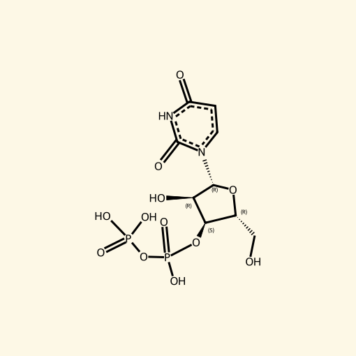 O=c1ccn([C@@H]2O[C@H](CO)[C@@H](OP(=O)(O)OP(=O)(O)O)[C@H]2O)c(=O)[nH]1